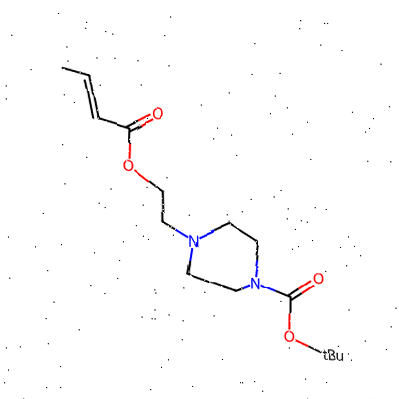 C/C=C/C(=O)OCCN1CCN(C(=O)OC(C)(C)C)CC1